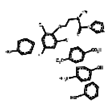 CCCN(CCOc1c(Cl)cc(Cl)cc1Cl)C(=O)n1ccnc1.O=C(O)c1ccc(C(=O)O)cc1.O=C(O)c1ccc(O)cc1.Oc1ccccc1.Oc1ccccc1